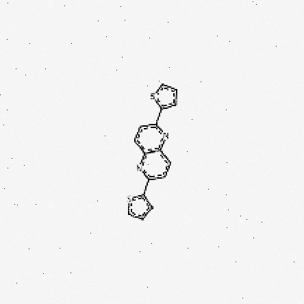 c1csc(-c2ccc3nc(-c4cccs4)ccc3n2)c1